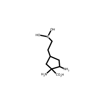 NC1CC(CCB(O)O)CC1(N)C(=O)O